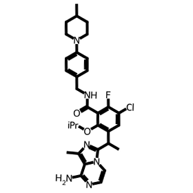 Cc1nc(C(C)c2cc(Cl)c(F)c(C(=O)NCc3ccc(N4CCC(C)CC4)cc3)c2OC(C)C)n2ccnc(N)c12